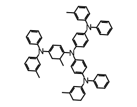 CC1=CC(N(c2ccccc2)c2ccc(N(C3=CC=C(N(c4ccccc4)c4cccc(C)c4)CC3C)c3ccc(N(c4ccccc4)c4cccc(C)c4)cc3)cc2)=CCC1